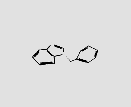 [c]1cccc2ncn(Cc3ccccc3)c12